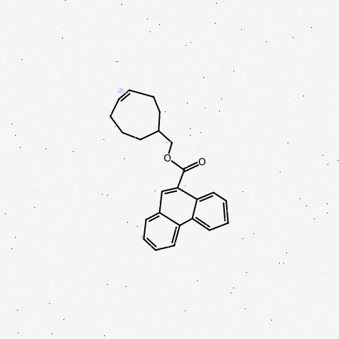 O=C(OCC1CC/C=C\CCC1)c1cc2ccccc2c2ccccc12